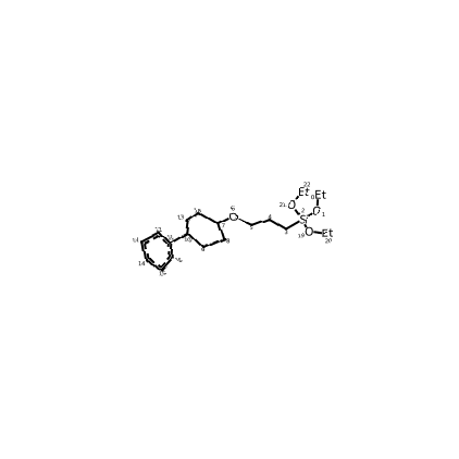 CCO[Si](CCCOC1CCC(c2ccccc2)CC1)(OCC)OCC